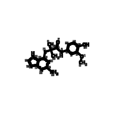 COc1cc(NC(=O)C(C)(C)Sc2nc(N)nc3nc[nH]c23)ccc1O